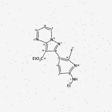 CCNc1ccc(-c2nn3cccnc3c2C(=O)OCC)c(F)n1